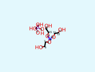 O=P(O)(O)O.OCCON(OCCO)OCCO